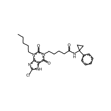 CCCCCn1c(=O)n(CCCCC(=O)NC2(c3ccccc3)CC2)c(=O)c2[nH]c(Cl)nc21